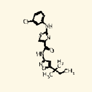 CCC(C)(C)c1cc(NC(=O)c2csc(Nc3cccc(Cl)c3)n2)no1